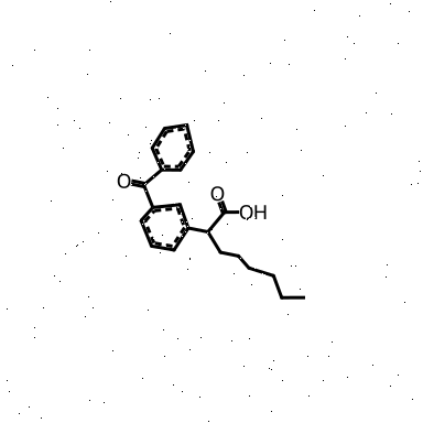 CCCCCCC(C(=O)O)c1cccc(C(=O)c2ccccc2)c1